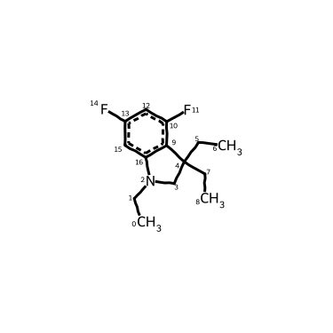 CCN1CC(CC)(CC)c2c(F)cc(F)cc21